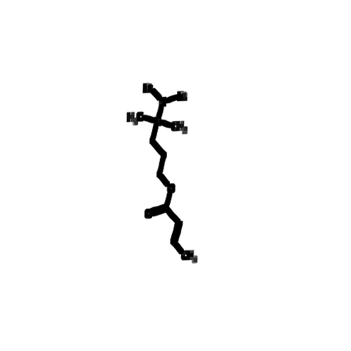 CC=CC(=O)OCCC[Si](C)(C)N(CC)CC